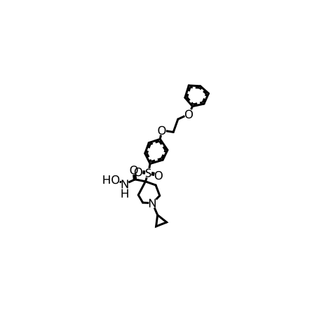 O=C(NO)C1(S(=O)(=O)c2ccc(OCCOc3ccccc3)cc2)CCN(C2CC2)CC1